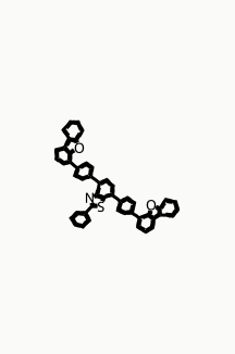 c1ccc(-c2nc3c(-c4ccc(-c5cccc6c5oc5ccccc56)cc4)ccc(-c4ccc(-c5cccc6c5oc5ccccc56)cc4)c3s2)cc1